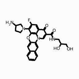 NC1CCN(c2c(F)cc3c(=O)c(C(=O)NCC(O)CO)cn4c3c2Oc2cc3ccccc3cc2-4)C1